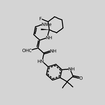 CN/C=C\C(N[C@@]1(C)CCCCC1F)=C(/C=O)C(=N)Nc1ccc2c(c1)NC(=O)C2(C)C